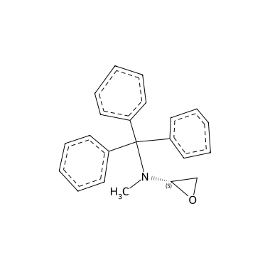 CN([C@@H]1CO1)C(c1ccccc1)(c1ccccc1)c1ccccc1